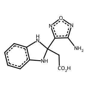 Nc1nonc1C1(CC(=O)O)Nc2ccccc2N1